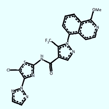 COc1nccc2c(-n3ncc(C(=O)Nc4nc(-n5nccn5)c(Cl)s4)c3C(F)(F)F)cccc12